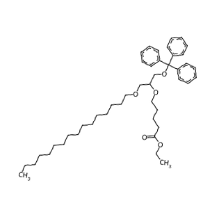 CCCCCCCCCCCCCCCCOCC(COC(c1ccccc1)(c1ccccc1)c1ccccc1)OCCCCC(=O)OCC